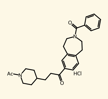 CC(=O)N1CCC(CCC(=O)c2ccc3c(c2)CCN(C(=O)c2ccccc2)CC3)CC1.Cl